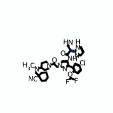 CN(CC1(C#N)CCCCC1)C1CCN(C(=O)Cn2cc(NC(=O)/C(C=N)=C3\N=CC=CN3)c(-c3cc(Cl)ccc3OC(F)F)n2)CC1